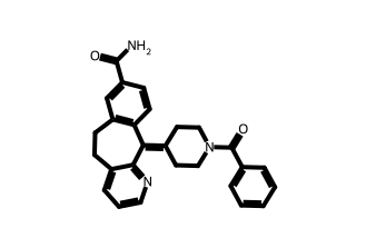 NC(=O)c1ccc2c(c1)CCc1cccnc1C2=C1CCN(C(=O)c2ccccc2)CC1